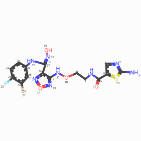 Nc1ncc(C(=O)NCCONc2nonc2/C(=N/O)Nc2ccc(F)c(Br)c2)s1